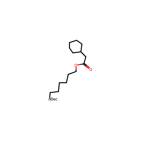 CCCCCCCCCCCCCCCCOC(=O)CC1CCCCC1